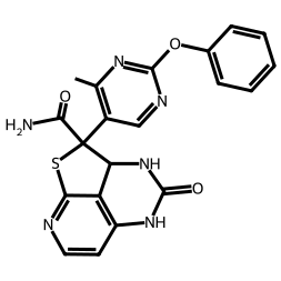 Cc1nc(Oc2ccccc2)ncc1C1(C(N)=O)Sc2nccc3c2C1NC(=O)N3